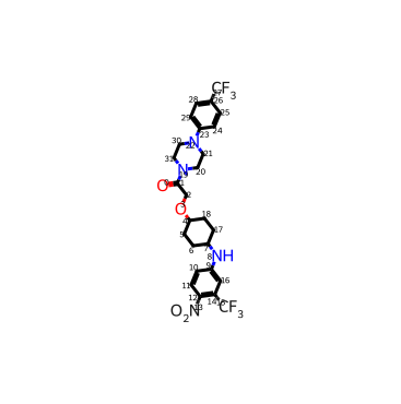 O=C(COC1CCC(Nc2ccc([N+](=O)[O-])c(C(F)(F)F)c2)CC1)N1CCN(c2ccc(C(F)(F)F)cc2)CC1